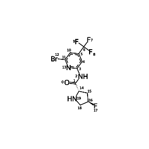 O=C(Nc1cc(C(F)(F)F)cc(Br)n1)[C@@H]1C[C@@H](F)CN1